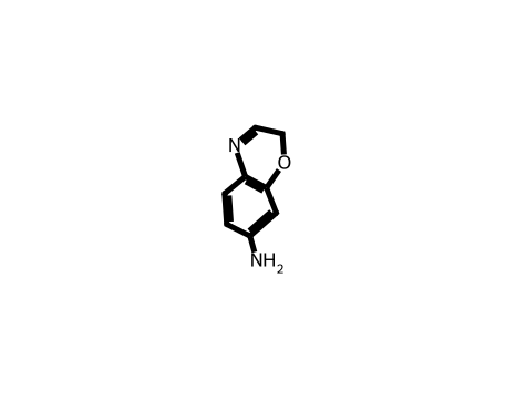 Nc1ccc2c(c1)OCC=N2